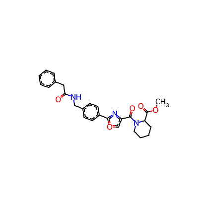 COC(=O)C1CCCCN1C(=O)c1coc(-c2ccc(CNC(=O)Cc3ccccc3)cc2)n1